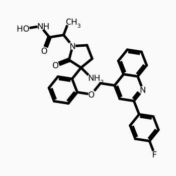 CC(C(=O)NO)N1CCC(N)(c2ccccc2OCc2cc(-c3ccc(F)cc3)nc3ccccc23)C1=O